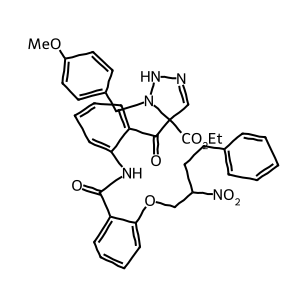 CCOC(=O)C1(C(=O)c2ccccc2NC(=O)c2ccccc2OCC(CCc2ccccc2)[N+](=O)[O-])C=NNN1Cc1ccc(OC)cc1